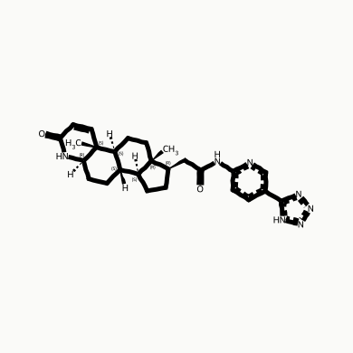 C[C@]12C=CC(=O)N[C@@H]1CC[C@@H]1[C@@H]2CC[C@]2(C)[C@@H](CC(=O)Nc3ccc(-c4nnn[nH]4)cn3)CC[C@@H]12